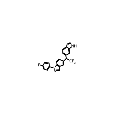 Fc1ccc(-n2ncc3cc([C](c4ccc5cc[nH]c5c4)C(F)(F)F)ccc32)cc1